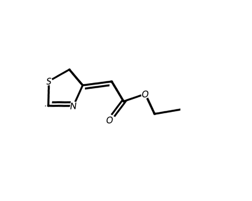 CCOC(=O)C=C1CS[C]=N1